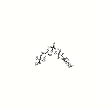 O=P([O-])([O-])[O-].O=P([O-])([O-])[O-].O=P([O-])([O-])[O-].O=P([O-])([O-])[O-].[Co+2].[Co+2].[Co+2].[Mg+2].[Mg+2].[Mg+2]